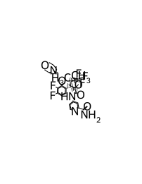 C[C@H]1[C@@H](c2ccc(F)c(F)c2OCCN2C3CCC2COC3)[C@H](C(=O)Nc2ccnc(C(N)=O)c2)O[C@@]1(C)C(F)(F)F